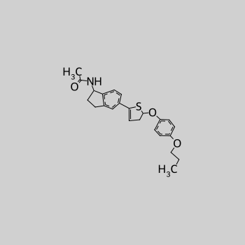 CCCOc1ccc(OC2CC=C(c3ccc4c(c3)CCC4NC(C)=O)S2)cc1